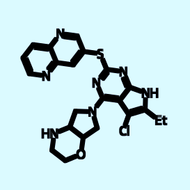 CCc1[nH]c2nc(Sc3cnc4cccnc4c3)nc(N3CC4NCCOC4C3)c2c1Cl